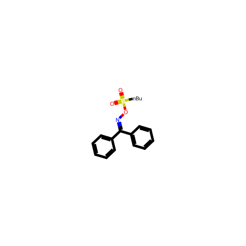 CCCCS(=O)(=O)ON=C(c1ccccc1)c1ccccc1